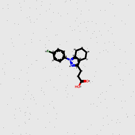 O=C(O)CCc1nn(-c2ccc(F)cc2)c2c1CCCC2